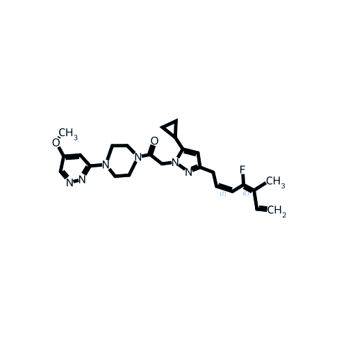 C=C/C(C)=C(F)\C=C/Cc1cc(C2CC2)n(CC(=O)N2CCN(c3cc(OC)cnn3)CC2)n1